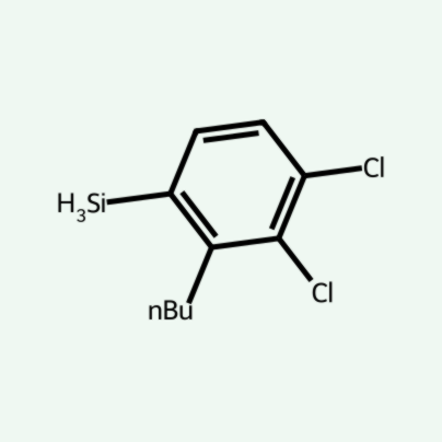 CCCCc1c([SiH3])ccc(Cl)c1Cl